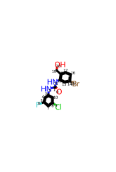 O=C(Nc1cc(F)cc(Cl)c1)Nc1cc(Br)ccc1CO